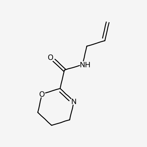 C=CCNC(=O)C1=NCCCO1